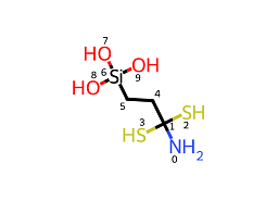 NC(S)(S)CC[Si](O)(O)O